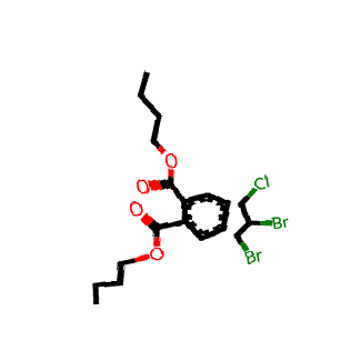 CCCCOC(=O)c1ccccc1C(=O)OCCCC.ClCC(Br)CBr